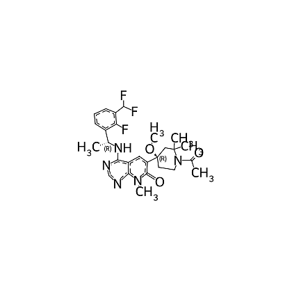 CO[C@]1(c2cc3c(N[C@H](C)c4cccc(C(F)F)c4F)ncnc3n(C)c2=O)CCN(C(C)=O)C(C)(C)C1